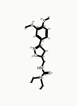 CCN(CC)C(=S)NCC1CC(c2ccc(SC)c(SC)c2)=NO1